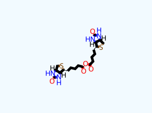 O=C1N[C@@H]2[C@@H](CS[C@@H]2CCCCC(=O)OC(=O)CCCC[C@H]2SC[C@H]3NC(=O)N[C@H]32)N1